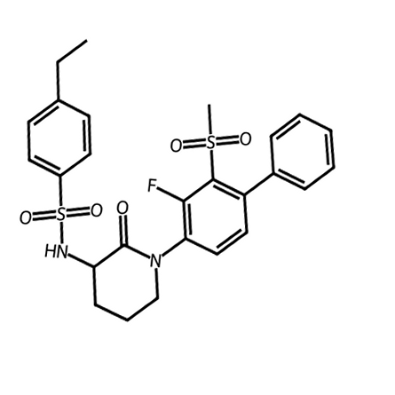 CCc1ccc(S(=O)(=O)NC2CCCN(c3ccc(-c4ccccc4)c(S(C)(=O)=O)c3F)C2=O)cc1